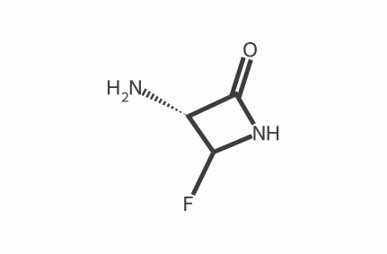 N[C@@H]1C(=O)NC1F